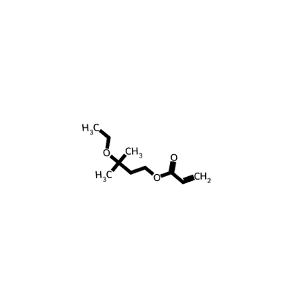 C=CC(=O)OCCC(C)(C)OCC